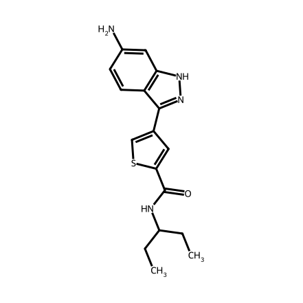 CCC(CC)NC(=O)c1cc(-c2n[nH]c3cc(N)ccc23)cs1